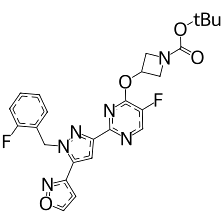 CC(C)(C)OC(=O)N1CC(Oc2nc(-c3cc(-c4ccon4)n(Cc4ccccc4F)n3)ncc2F)C1